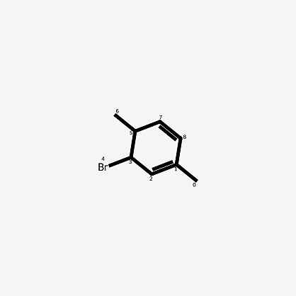 CC1=CC(Br)C(C)C=C1